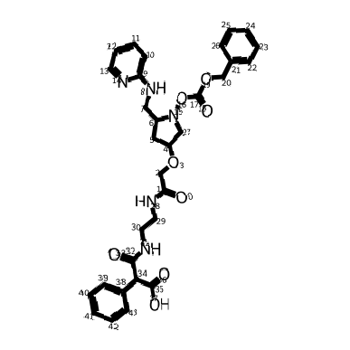 O=C(COC1CC(CNc2ccccn2)N(OC(=O)OCc2ccccc2)C1)NCCNC(=O)C(C(=O)O)c1ccccc1